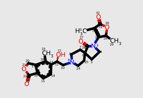 CC1=C(N2CCC3(CCN(C[C@H](O)c4ccc5c(c4C)COC5=O)CC3)C2=O)C(C)OC1=O